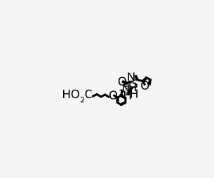 [2H]C([2H])([2H])N(Cc1ccccc1OCCCCCC(=O)O)C(=O)c1ncc(-c2ccco2)s1